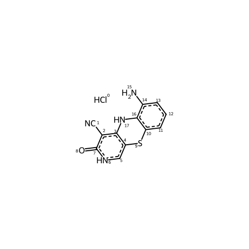 Cl.N#Cc1c2c(c[nH]c1=O)Sc1cccc(N)c1N2